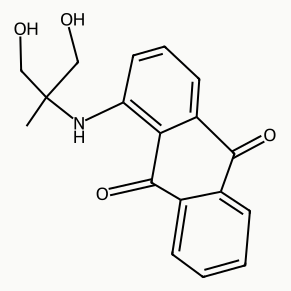 CC(CO)(CO)Nc1cccc2c1C(=O)c1ccccc1C2=O